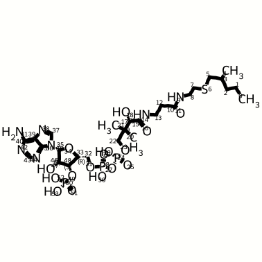 CCCC(C)CSCCNC(=O)CCNC(=O)[C@H](O)C(C)(C)COP(=O)(O)OP(=O)(O)OC[C@H]1O[C@@H](n2cnc3c(N)ncnc32)[C@H](O)[C@@H]1OP(=O)(O)O